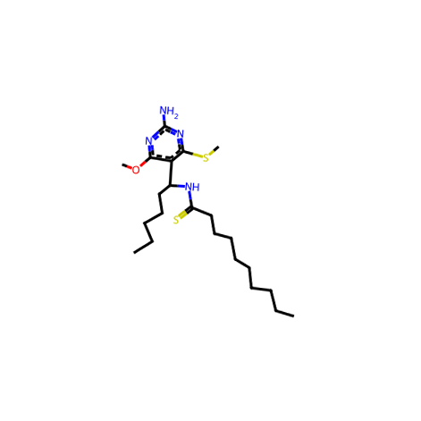 CCCCCCCCCC(=S)NC(CCCCC)c1c(OC)nc(N)nc1SC